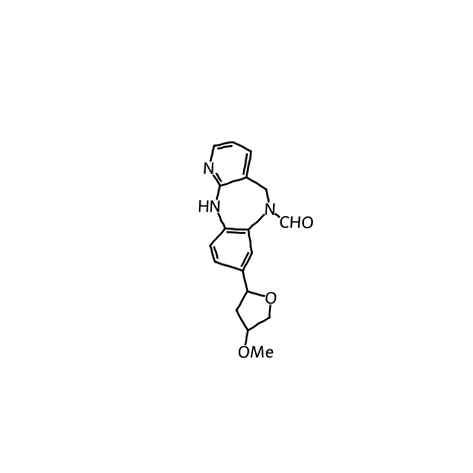 COC1COC(c2ccc3c(c2)N(C=O)Cc2cccnc2N3)C1